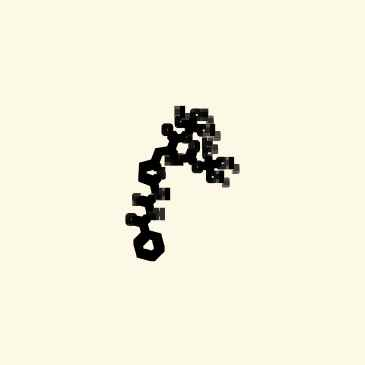 CC(C)(C)OC(=O)NC(Cc1ccc(NC(=S)NC(=O)c2ccccc2)s1)C(=O)OC(C)(C)C